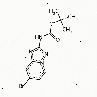 CC(C)(C)OC(=O)Nc1nc2cc(Br)ccn2n1